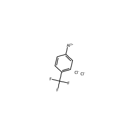 FC(F)(F)c1cc[c]([Al+2])cc1.[Cl-].[Cl-]